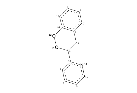 c1ccc([C]2Cc3ccccc3OO2)nc1